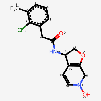 O=C(Cc1cccc(C(F)(F)F)c1Cl)NC1COC2=C1C=CN(O)C2